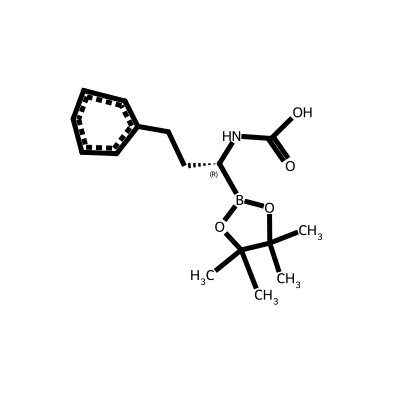 CC1(C)OB([C@H](CCc2ccccc2)NC(=O)O)OC1(C)C